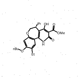 CCCCOc1cc2c(cc1CC)-c1[nH]c(=O)c(C(=O)OC)c(O)c1[C@H](C(C)C)CO2